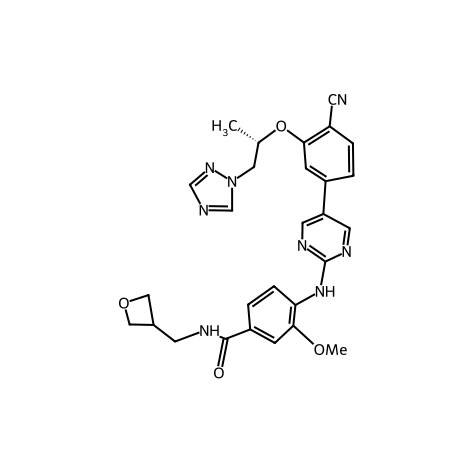 COc1cc(C(=O)NCC2COC2)ccc1Nc1ncc(-c2ccc(C#N)c(O[C@@H](C)Cn3cncn3)c2)cn1